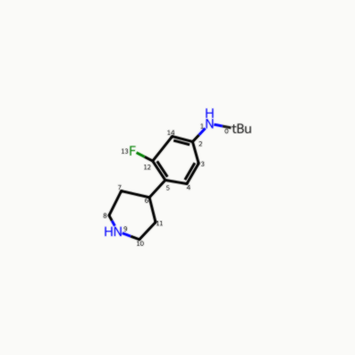 CC(C)(C)Nc1ccc(C2CCNCC2)c(F)c1